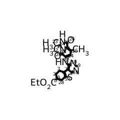 CCOC(=O)[C@H]1CCc2c(sc3ncnc(Nc4cc(C)c5n(c4=O)C(C)(C)NC5=O)c23)C1